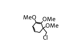 COC1=C(OC)C(CCl)(OC)CC=C1